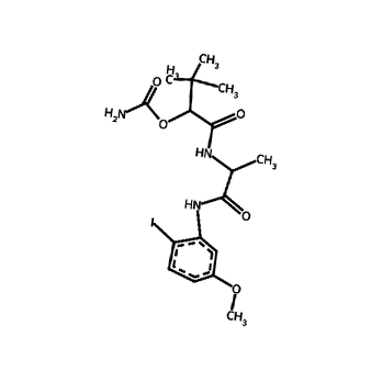 COc1ccc(I)c(NC(=O)C(C)NC(=O)C(OC(N)=O)C(C)(C)C)c1